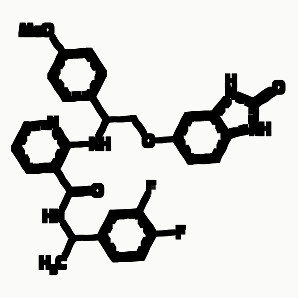 COc1ccc(C(COc2ccc3[nH]c(=O)[nH]c3c2)Nc2ncccc2C(=O)NC(C)c2ccc(F)c(F)c2)cc1